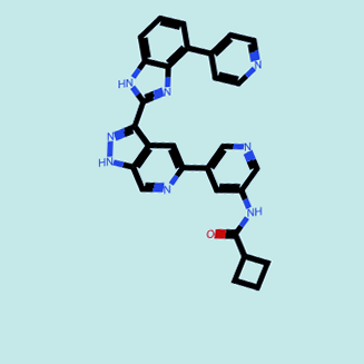 O=C(Nc1cncc(-c2cc3c(-c4nc5c(-c6ccncc6)cccc5[nH]4)n[nH]c3cn2)c1)C1CCC1